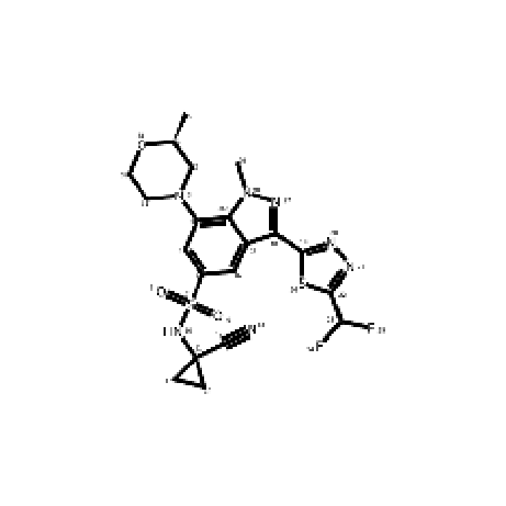 C[C@H]1CN(c2cc(S(=O)(=O)NC3(C#N)CC3)cc3c(-c4nnc(C(F)F)s4)nn(C)c23)CCO1